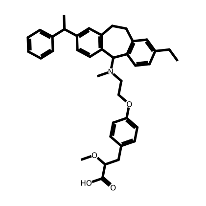 CCc1ccc2c(c1)CCc1cc(C(C)c3ccccc3)ccc1C2N(C)CCOc1ccc(CC(OC)C(=O)O)cc1